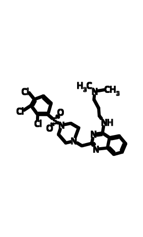 CN(C)CCCNc1nc(CN2CCN(S(=O)(=O)c3ccc(Cl)c(Cl)c3Cl)CC2)nc2ccccc12